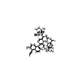 C#Cc1c(F)ccc2c(-c3ncc4c(N5C[C@H]6CC[C@@H](C5)N6)nc(OC(C)C56CCC(OC)(CC5)CC6)nc4c3F)c(O)ccc12